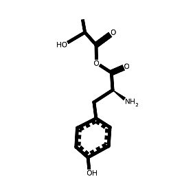 CC(O)C(=O)OC(=O)[C@@H](N)Cc1ccc(O)cc1